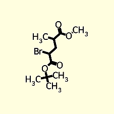 COC(=O)C(C)CC(Br)C(=O)OC(C)(C)C